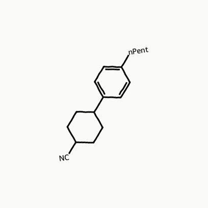 CCCCCc1ccc(C2CCC(C#N)CC2)cc1